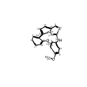 COc1ccc(Nc2ncc3ccc(-c4ccccc4OC)n3n2)cc1